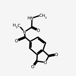 CNC(=O)N(C)C(=O)c1ccc2c(c1)C(=O)OC2=O